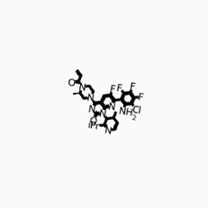 C=CC(=O)N1CCN(c2nc(=O)n(C3C(C(C)C)=NC=CC3C)c3nc(-c4c(N)c(Cl)c(F)c(F)c4F)c(F)cc23)C[C@H]1C